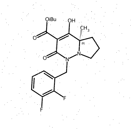 CC(C)COC(=O)C1=C(O)[C@@]2(C)CCCN2N(Cc2cccc(F)c2F)C1=O